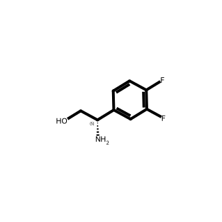 N[C@H](CO)c1ccc(F)c(F)c1